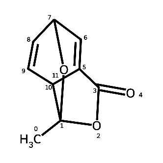 CC12OC(=O)C3=CC(C=CC31)O2